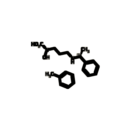 C[C@@H](NCCCN(O)C(=O)O)c1ccccc1.Cc1ccccc1